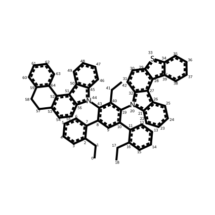 CCc1ccccc1-c1cc(-c2ccccc2CC)c(-n2c3ccccc3c3c4c(ccc32)sc2ccccc24)c(CC)c1-n1c2ccccc2c2c3c(ccc21)CCc1ccccc1-3